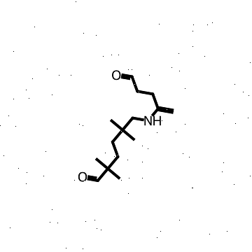 C=C(CCC=O)NCC(C)(C)CCC(C)(C)C=O